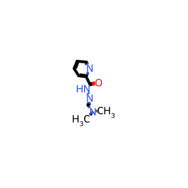 CN(C)C=NNC(=O)c1ccccn1